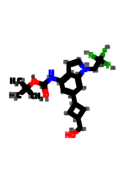 CC(C)(C)OC(=O)Nc1cc(C2CC(CO)C2)cc2c1ccn2CC(F)(F)F